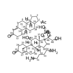 CC(=O)[C@H]1CC[C@H]2[C@@H]3CCC4=CC(=O)CC[C@]4(C)[C@H]3CC[C@]12C.C[C@]12CCC(=O)C=C1CC[C@@H]1[C@@H]2[C@@H](O)C[C@@]2(C)[C@H]1CC[C@]2(O[Se](=O)O)C(=O)CO.NCCCCN